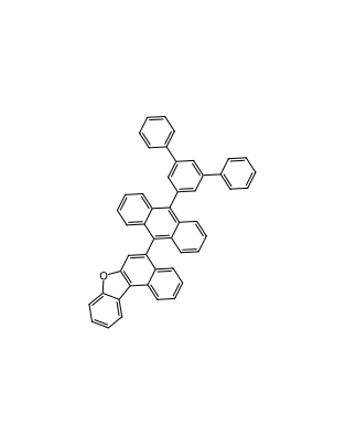 c1ccc(-c2cc(-c3ccccc3)cc(-c3c4ccccc4c(-c4cc5oc6ccccc6c5c5ccccc45)c4ccccc34)c2)cc1